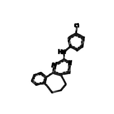 Clc1cccc(Nc2ncc3c(n2)-c2ccccc2CCC3)c1